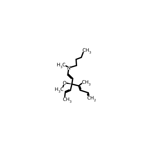 C=C/C=C(\C)[C@](/C=C/C)(/C=C/N(C)CCCC)OC